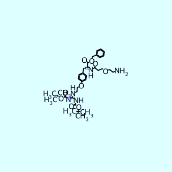 CC(C)(C)OC(=O)/N=C(\NCCOc1ccc(C[C@H](NC(=O)CCOCCN)C(=O)OCc2ccccc2)cc1)NC(=O)OC(C)(C)C